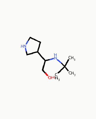 CC(C)(C)NC(CO)C1CCNC1